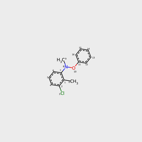 Cc1c(Cl)cccc1N(C)Oc1ccccc1